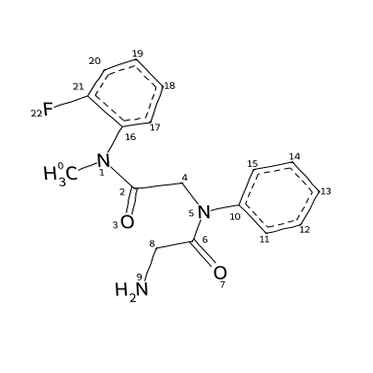 CN(C(=O)CN(C(=O)CN)c1ccccc1)c1ccccc1F